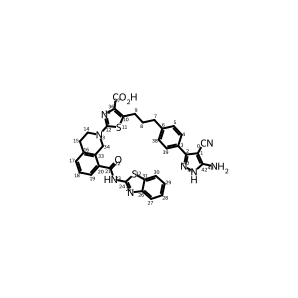 N#Cc1c(-c2ccc(CCCc3sc(N4CCc5cccc(C(=O)Nc6nc7ccccc7s6)c5C4)nc3C(=O)O)cc2)n[nH]c1N